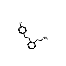 NCCc1ccccc1CCc1ccc(Br)cc1